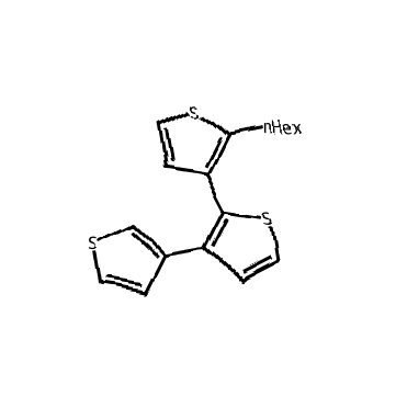 CCCCCCc1sccc1-c1sccc1-c1ccsc1